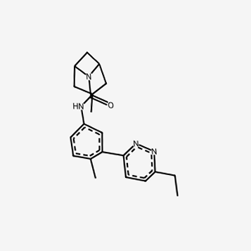 CCc1ccc(-c2cc(NC(=O)N3C4CC(C)CC3C4)ccc2C)nn1